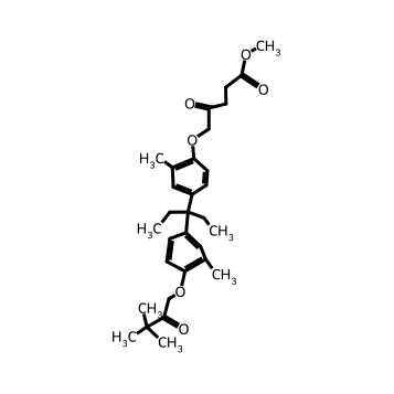 CCC(CC)(c1ccc(OCC(=O)CCC(=O)OC)c(C)c1)c1ccc(OCC(=O)C(C)(C)C)c(C)c1